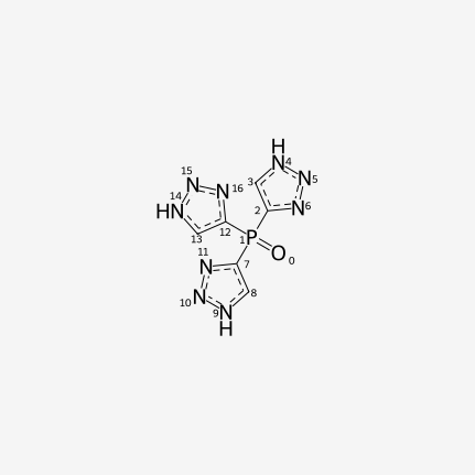 O=P(c1c[nH]nn1)(c1c[nH]nn1)c1c[nH]nn1